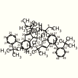 CCC(=O)N[B](NC(=O)CC)[Hf]([Cl])([Cl])([CH]1C(C(C)(C)C)=Cc2c(-c3ccccc3C(C)(C)C)cccc21)[CH]1C(C(C)(C)C)=Cc2c(-c3ccccc3C(C)(C)C)cccc21